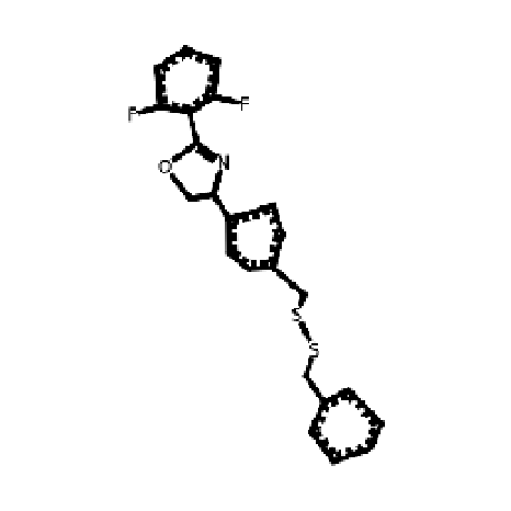 Fc1cccc(F)c1C1=NC(c2ccc(CSSCc3ccccc3)cc2)CO1